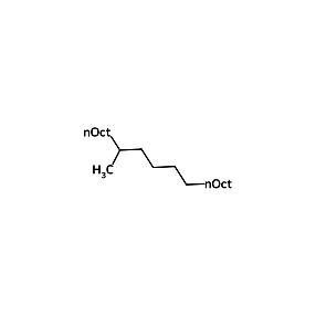 [CH2]CCCCCCCCCCCC(C)CCCCCCC[CH2]